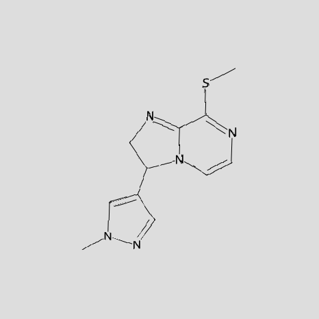 CSC1=NC=CN2C1=NCC2c1cnn(C)c1